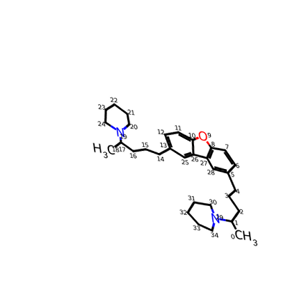 CC(CCCc1ccc2oc3ccc(CCCC(C)N4CCCCC4)cc3c2c1)N1CCCCC1